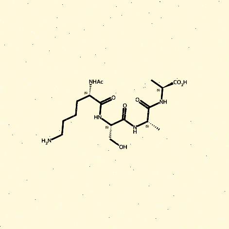 CC(=O)N[C@@H](CCCCN)C(=O)N[C@@H](CO)C(=O)N[C@@H](C)C(=O)N[C@@H](C)C(=O)O